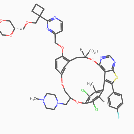 Cc1c(Cl)c2c(Cl)c(C)c1-c1c(-c3ccc(F)cc3)sc3ncnc(c13)O[C@@H](C(=O)O)Cc1cc(ccc1OCc1ccnc(C3(COC[C@H]4COCCO4)CCC3)n1)OCC(CN1CCN(C)CC1)O2